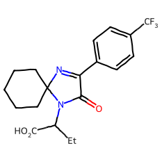 CCC(C(=O)O)N1C(=O)C(c2ccc(C(F)(F)F)cc2)=NC12CCCCC2